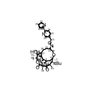 CC(=O)/N=C1\[C@H](C)C[C@@]2(C)OC/C(=N/OCc3ccc(-n4cccn4)nc3)CC[C@H]([C@H]1C)[C@](C)(O)[C@@H](I)OC(=O)[C@H](C)C(=O)[C@H](C)[C@H]2C(C)(C)C